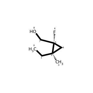 CC[C@]1(C)C[C@]1(F)CO